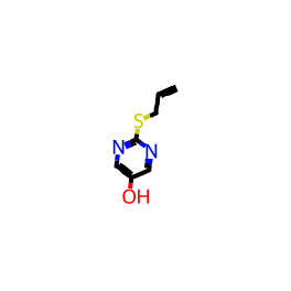 C=CCSc1ncc(O)cn1